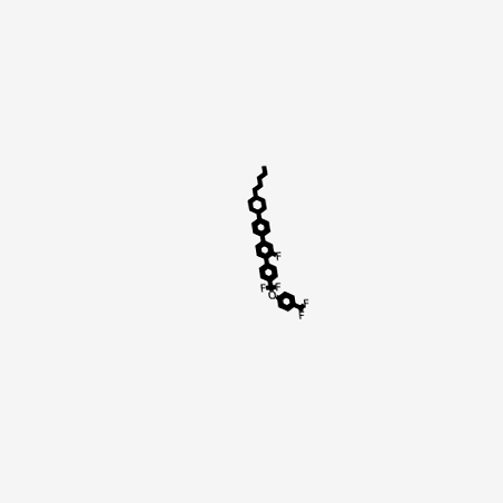 CCCCCC1CCC(c2ccc(-c3ccc(-c4ccc(C(F)(F)Oc5ccc(C(F)F)cc5)cc4)c(F)c3)cc2)CC1